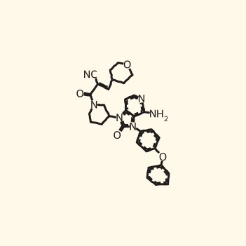 N#CC(=CC1CCOCC1)C(=O)N1CCCC(n2c(=O)n(-c3ccc(Oc4ccccc4)cc3)c3c(N)nccc32)C1